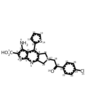 Nc1c(C(=O)O)sc2nc3c(c(-c4cccs4)c12)CN(CC(=O)c1ccc(Cl)cc1)C3